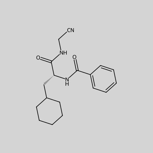 N#CCNC(=O)[C@@H](CC1CCCCC1)NC(=O)c1ccccc1